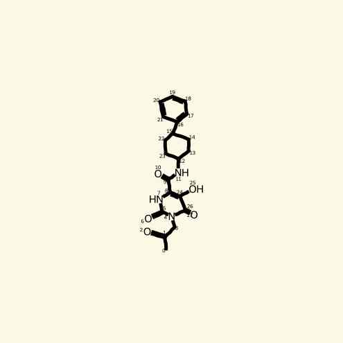 CC(=O)Cn1c(=O)[nH]c(C(=O)NC2CCC(c3ccccc3)CC2)c(O)c1=O